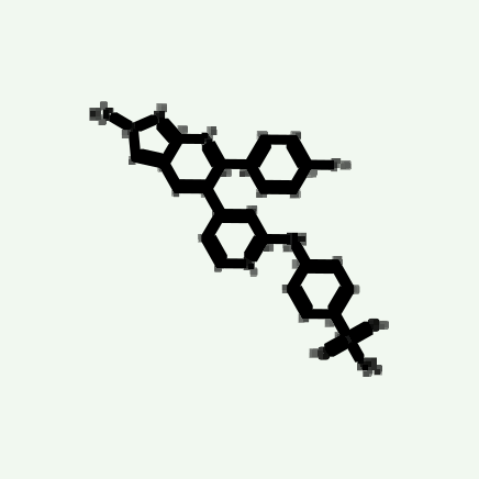 Cn1cc2cc(-c3ccnc(Nc4ccc(S(N)(=O)=O)cc4)c3)c(-c3ccc(F)cc3)nc2n1